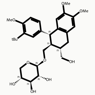 COc1cc2c(cc1OC)[C@@H](c1ccc(OC)c(C(C)(C)C)c1)[C@H](CO[C@@H]1OC[C@@H](O)[C@H](O)[C@H]1O)[C@@H](CO)C2